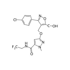 Cn1nc(OCc2c(-c3ccc(Cl)cc3)noc2CO)cc1C(=O)NCC(F)(F)F